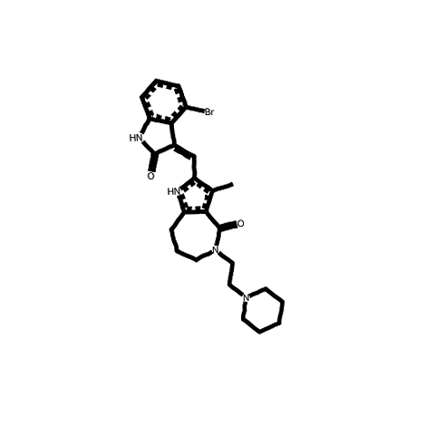 Cc1c(/C=C2\C(=O)Nc3cccc(Br)c32)[nH]c2c1C(=O)N(CCN1CCCCC1)CCC2